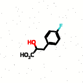 O=C(O)C(O)Cc1ccc(F)cc1